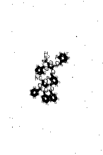 N#C[C@H]1O[C@H](C(OCc2ccccc2)c2cccc(CO[C@H]3[C@@H](OCc4ccccc4F)[C@@H](C(N)=S)O[C@@H]3COCc3ccccc3F)c2F)[C@@H](OCc2ccccc2)[C@H]1OCc1ccccc1